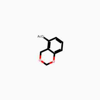 CC(=O)Oc1cccc2c1COCO2